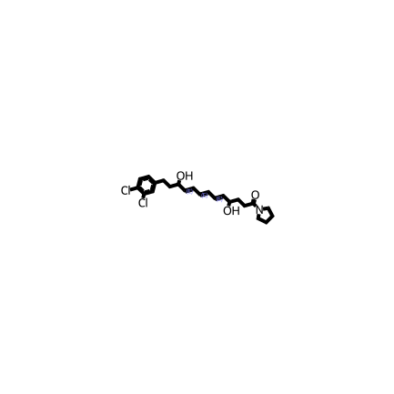 O=C(CCC(O)/C=C/C=C/C=C/C(O)CCc1ccc(Cl)c(Cl)c1)N1CCCC1